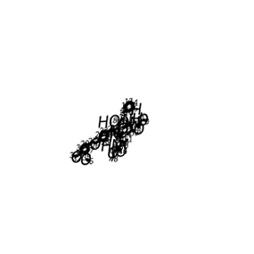 COC(=O)N[C@H](C(=O)N[C@@H](Cc1ccccc1)[C@@H](O)CN(Cc1ccc(OCc2ccc(OC)c(OC)c2)cc1)NC(=O)[C@@H](NC(=O)OC)C(C)C)C(C)C